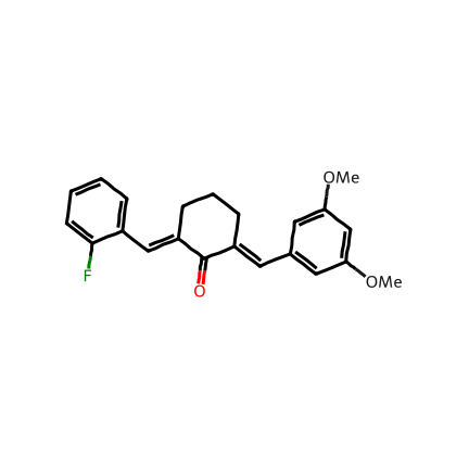 COc1cc(C=C2CCCC(=Cc3ccccc3F)C2=O)cc(OC)c1